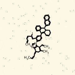 C=C/C=C\C(I)=C\c1cc(C2=C3C=CCCC3C(c3ccc4ccccc4c3)c3ccccc32)ccc1-n1cnc2c1C(C=C)=C(C)C/C2=C\C=C/C